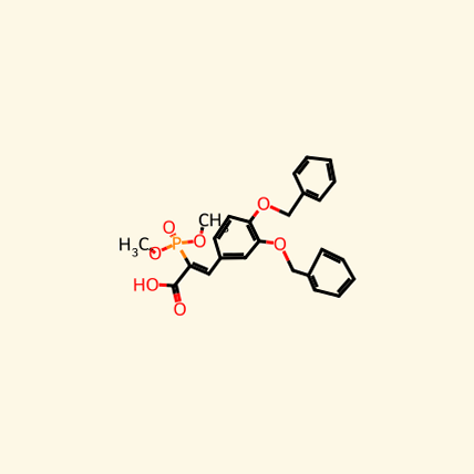 COP(=O)(OC)C(=Cc1ccc(OCc2ccccc2)c(OCc2ccccc2)c1)C(=O)O